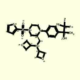 CC(O)(c1ccc(N2CCN(S(=O)(=O)c3cccs3)C[C@@H]2CN(C2COC2)C2COC2)cc1)C(F)(F)F